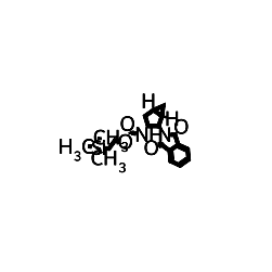 C[Si](C)(C)CCOC(=O)N[C@H]1C[C@@H]2C[C@@H]2[C@H]1N1C(=O)c2ccccc2C1=O